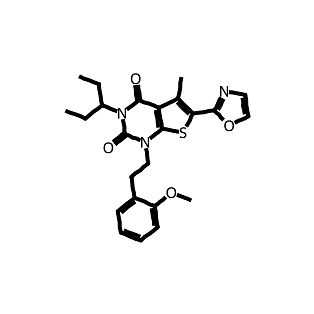 CCC(CC)n1c(=O)c2c(C)c(-c3ncco3)sc2n(CCc2ccccc2OC)c1=O